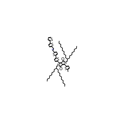 CCCCCCCCCCC(CCCCCCCC)CN1C(=O)C2=C(c3ccc(-c4ccc(/C=C/c5ccc(-c6cccs6)s5)s4)s3)N(CC(CCCCCCCC)CCCCCCCCCC)C(=O)C2=C1c1ccc(C)s1